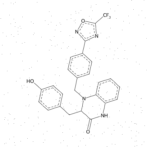 O=C1Nc2ccccc2N(Cc2ccc(-c3noc(C(F)(F)F)n3)cc2)C1Cc1ccc(O)cc1